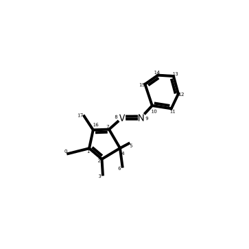 CC1=C(C)C(C)(C)[C](/[V]=[N]/c2ccccc2)=C1C